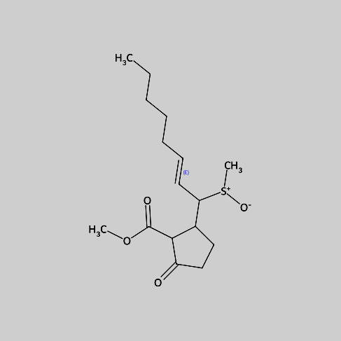 CCCCC/C=C/C(C1CCC(=O)C1C(=O)OC)[S+](C)[O-]